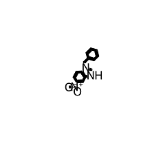 O=[N+]([O-])c1ccc2c(c1)NCN2Cc1ccccc1